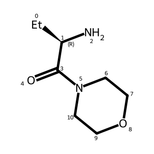 CC[C@@H](N)C(=O)N1CCOCC1